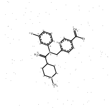 C=C(CC)c1ccc(CN(C(=C)C2CCN(C)CC2)c2cccc(F)c2)nc1